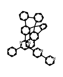 c1ccc(-c2cc(-c3ccc(-c4cccnc4)nc3)nc(-c3ccc4c(c3)C3(c5ccccc5-c5ccccc5-4)c4ccccc4-c4cc5ccccc5cc43)n2)cc1